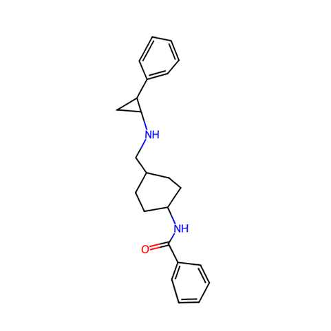 O=C(NC1CCC(CNC2CC2c2ccccc2)CC1)c1ccccc1